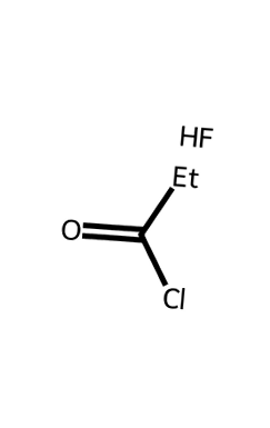 CCC(=O)Cl.F